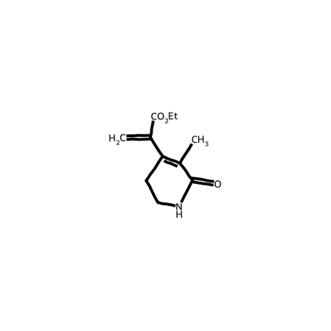 C=C(C(=O)OCC)C1=C(C)C(=O)NCC1